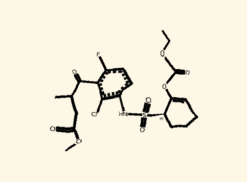 CCOC(=O)OC1=CCCC[C@H]1S(=O)(=O)Nc1ccc(F)c(C(=O)C(C)CC(=O)OC)c1Cl